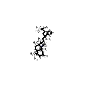 CCCC(C)(C)CC[C@@](C)(CCC(C)(C)[C@]1(C)CC[C@H]2C(C)(C)C(=O)C(C#N)=C[C@]2(C)/C1=C/C(C)=O)c1nnco1